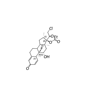 CCC(=O)O[C@]1(C(=O)CCl)[C@@H](C)CC2C3CCC4=CC(=O)C=C[C@]4(C)[C@@]3(F)[C@@H](O)C[C@@]21C